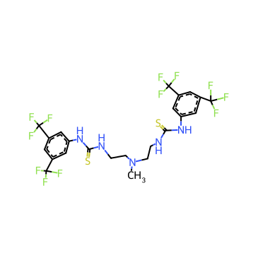 CN(CCNC(=S)Nc1cc(C(F)(F)F)cc(C(F)(F)F)c1)CCNC(=S)Nc1cc(C(F)(F)F)cc(C(F)(F)F)c1